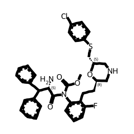 COC(=O)N(C(=O)[C@@H](N)C(c1ccccc1)c1ccccc1)c1cccc(F)c1CC[C@@H]1CNC[C@@H](CSc2ccc(Cl)cc2)O1